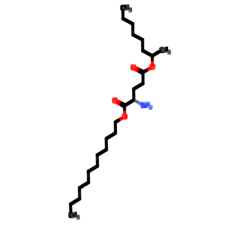 CCCCCCCCCCCCOC(=O)[C@@H](N)CCC(=O)OC(C)CCCCCC